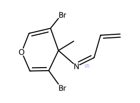 C=C/C=N\C1(C)C(Br)=COC=C1Br